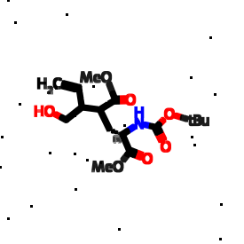 C=CC(CO)C(C[C@H](NC(=O)OC(C)(C)C)C(=O)OC)C(=O)OC